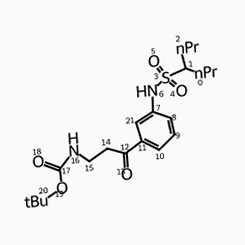 CCCC(CCC)S(=O)(=O)Nc1cccc(C(=O)CCNC(=O)OC(C)(C)C)c1